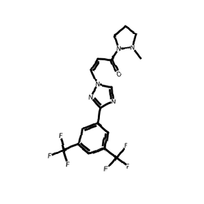 CN1CCCN1C(=O)/C=C\n1cnc(-c2cc(C(F)(F)F)cc(C(F)(F)F)c2)n1